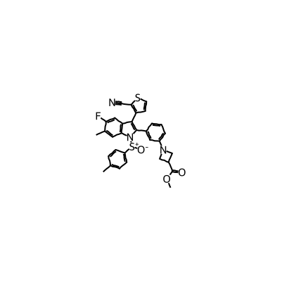 COC(=O)C1CN(c2cccc(-c3c(-c4ccsc4C#N)c4cc(F)c(C)cc4n3[S+]([O-])c3ccc(C)cc3)c2)C1